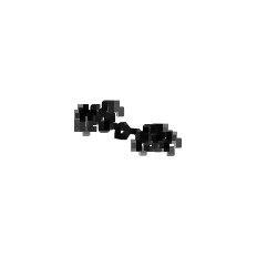 CC1(C)OB(C2=CC(CO[Si](C)(C)C(C)(C)C)CC2)OC1(C)C